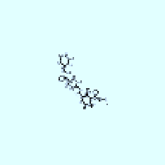 NC(=O)c1c(F)c(F)cc(C[CH]C2CCN(C(=O)CSC3CCCCC3)CC2)c1F